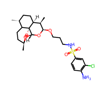 C[C@H]1[C@@H](OCCCNS(=O)(=O)c2ccc(N)c(Cl)c2)O[C@@H]2O[C@@]3(C)CCC4[C@H](C)CC[C@@H]1[C@]42OO3